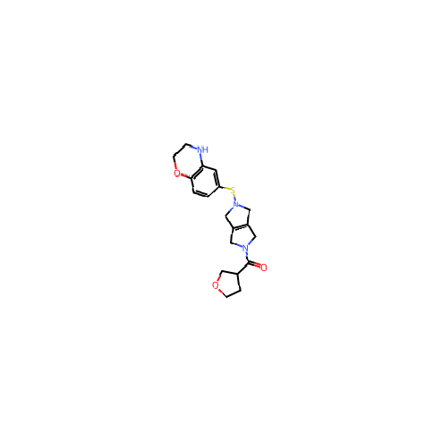 O=C(C1CCOC1)N1CC2=C(CN(Sc3ccc4c(c3)NCCO4)C2)C1